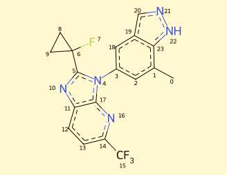 Cc1cc(-n2c(C3(F)CC3)nc3ccc(C(F)(F)F)nc32)cc2cn[nH]c12